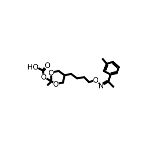 CC(=NOCCCCC1COC(C)(OC(=O)O)OC1)c1cccc(C)c1